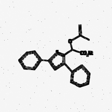 C=C(C)OC(C(=O)OCC)c1sc(-c2ccccc2)cc1-c1ccccc1